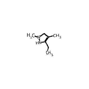 CCC1=C(C)CN(C)N1